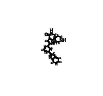 O=C1NCC2(CCNCC2)c2[nH]c(-c3ccnc(-c4nc5ccccc5s4)n3)cc21